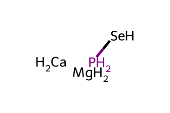 P[SeH].[CaH2].[MgH2]